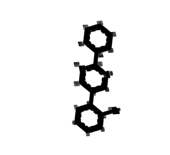 Brc1ccccc1-c1cnc(-c2ccccc2)nc1